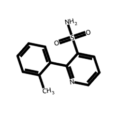 Cc1ccccc1-c1ncccc1S(N)(=O)=O